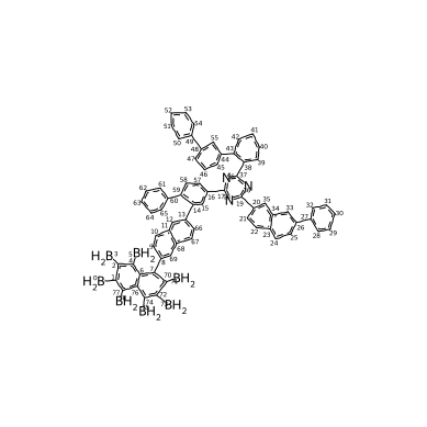 Bc1c(B)c(B)c2c(-c3ccc4cc(-c5cc(-c6nc(-c7ccc8ccc(-c9ccccc9)cc8c7)nc(-c7ccccc7-c7cccc(-c8ccccc8)c7)n6)ccc5-c5ccccc5)ccc4c3)c(B)c(B)c(B)c2c1B